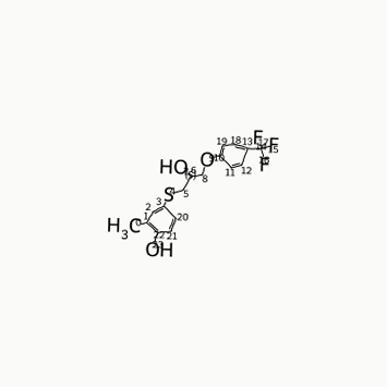 Cc1cc(SC[C@@H](O)COc2ccc(C(F)(F)F)cc2)ccc1O